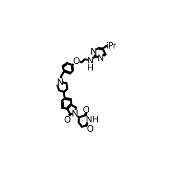 CC(C)c1cnc(NCCOc2ccc(CN3CCC(c4ccc5c(c4)CN(C4CCC(=O)NC4=O)C5=O)CC3)cc2)nc1